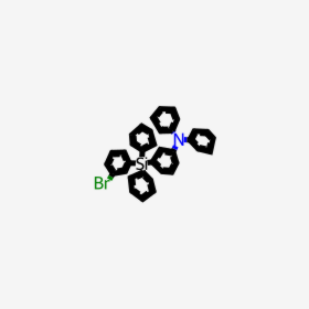 Brc1cccc([Si](c2ccccc2)(c2ccccc2)c2cccc(N(c3ccccc3)c3ccccc3)c2)c1